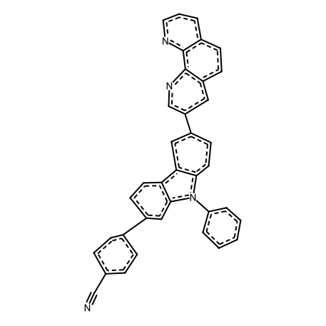 N#Cc1ccc(-c2ccc3c4cc(-c5cnc6c(ccc7cccnc76)c5)ccc4n(-c4ccccc4)c3c2)cc1